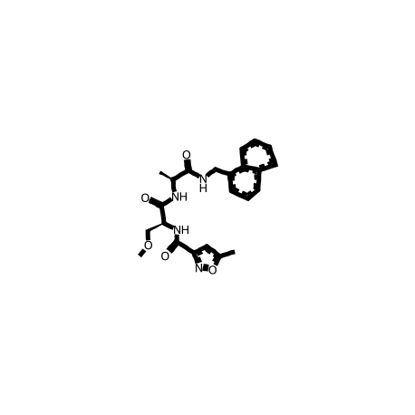 COC[C@H](NC(=O)c1cc(C)on1)C(=O)N[C@@H](C)C(=O)NCc1cccc2ccccc12